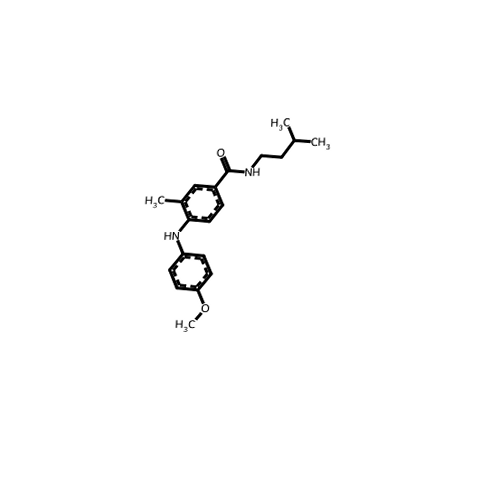 COc1ccc(Nc2ccc(C(=O)NCCC(C)C)cc2C)cc1